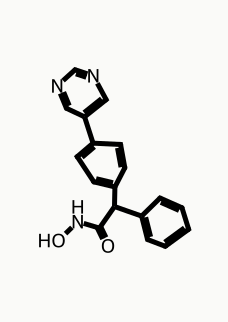 O=C(NO)C(c1ccccc1)c1ccc(-c2cncnc2)cc1